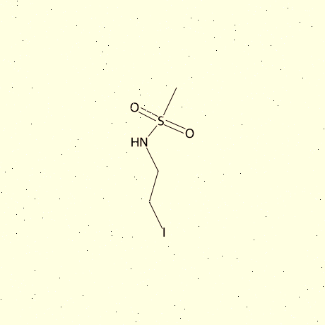 CS(=O)(=O)NCCI